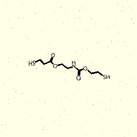 O=C(CCS)OCCNC(=O)OCCS